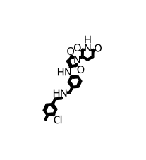 Cc1ccc(CCNCc2cccc(NC3=CC(=O)N(C4CCC(=O)NC4=O)C3=O)c2)cc1Cl